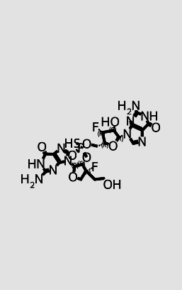 Nc1nc2c(ncn2[C@@H]2O[C@H](COP(=O)(S)O[C@H]3[C@H](n4cnc5c(=O)[nH]c(N)nc54)OC[C@]3(F)CCO)[C@H](F)[C@H]2O)c(=O)[nH]1